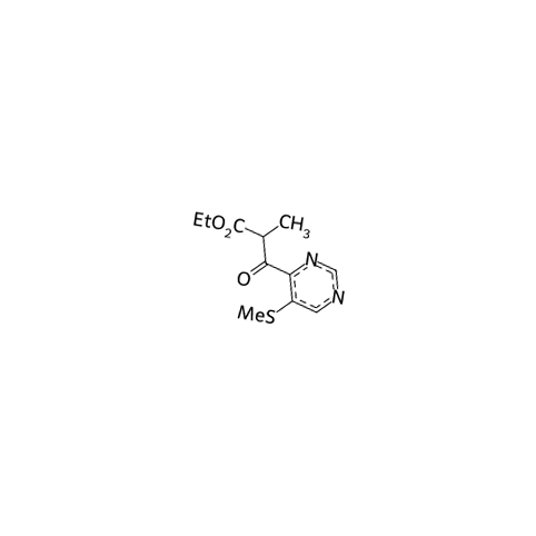 CCOC(=O)C(C)C(=O)c1ncncc1SC